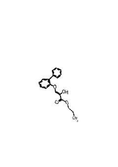 CCCOC(=O)C(O)=COc1ccccc1-c1ccccc1